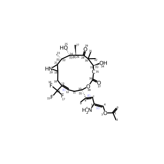 C=C(C)O/C=C(N)/C=C(\C)[C@@H]1C/C=C(/C(F)(F)F)CC2NC2[C@H](C)[C@H](O)[C@@H](C)C(=O)C(C)(C)[C@@H](O)CC(=O)O1